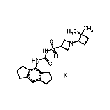 CC1(C)CCC1N1CC(S(=O)(=O)NC(=O)Nc2c3c(cc4c2CCC4)CCC3)C1.[K]